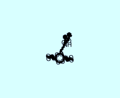 C#Cc1ccccc1N(Cc1ccccc1C)C(=O)CCC(=O)NCCCCCSC[C@@H]1COCCN(Cc2cccc(C(=O)OC)n2)CCOCCOCCN(Cc2cccc(C(=O)OC)n2)CCO1